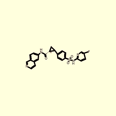 O=C(Nc1ccc2cnccc2c1)[C@@H]1CC1c1ccc(S(=O)(=O)Nc2ccc(F)cn2)cc1